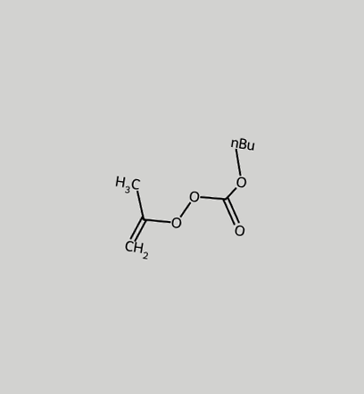 C=C(C)OOC(=O)OCCCC